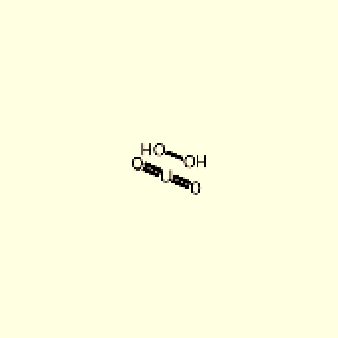 OO.[O]=[U]=[O]